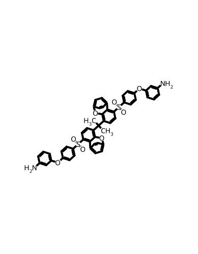 CC(C)(c1ccc(S(=O)(=O)c2ccc(Oc3cccc(N)c3)cc2)c2c1Oc1ccc-2cc1)c1ccc(S(=O)(=O)c2ccc(Oc3cccc(N)c3)cc2)c2c1Oc1ccc-2cc1